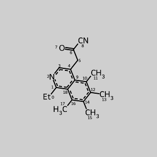 CCc1ncc(CC(=O)C#N)c2c(C)c(C)c(C)c(C)c12